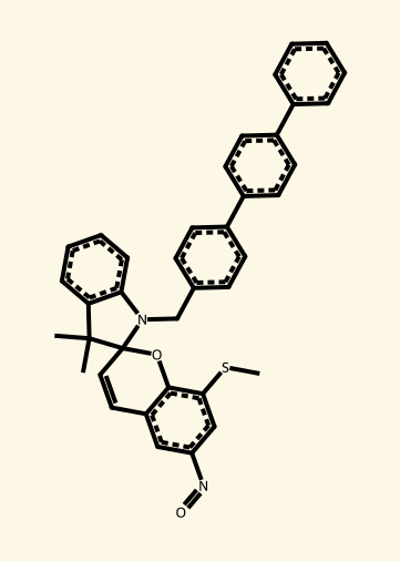 CSc1cc(N=O)cc2c1OC1(C=C2)N(Cc2ccc(-c3ccc(-c4ccccc4)cc3)cc2)c2ccccc2C1(C)C